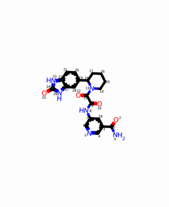 NC(=O)c1cncc(NC(=O)C(=O)N2CCCCC2c2ccc3[nH]c(=O)[nH]c3c2)c1